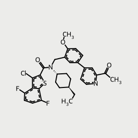 CC[C@H]1CC[C@H](N(Cc2cc(-c3ccnc(C(C)=O)c3)ccc2OC)C(=O)c2sc3c(F)ccc(F)c3c2Cl)CC1